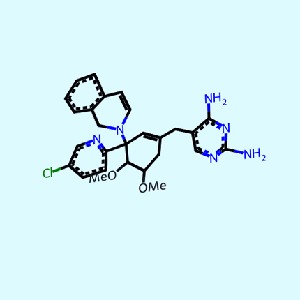 COC1CC(Cc2cnc(N)nc2N)=CC(c2ccc(Cl)cn2)(N2C=Cc3ccccc3C2)C1OC